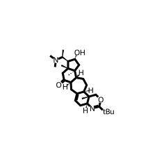 C[C@@H]([C@H]1[C@H](O)C[C@@]2(C)[C@@H]3CC[C@@H]4C(=CC[C@@H]5N=C(C(C)(C)C)OC[C@]54C)C[C@H]3C(=O)C[C@]12C)N(C)C